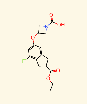 CCOC(=O)C1Cc2cc(OC3CN(C(=O)O)C3)cc(F)c2C1